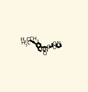 CC(C)(C)C#Cc1ccc2c(c1)CCn1c-2cc(OCC2COc3ncccc3O2)nc1=O